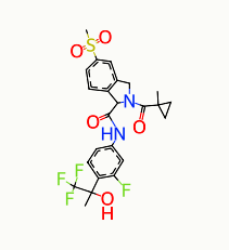 CC1(C(=O)N2Cc3cc(S(C)(=O)=O)ccc3C2C(=O)Nc2ccc(C(C)(O)C(F)(F)F)c(F)c2)CC1